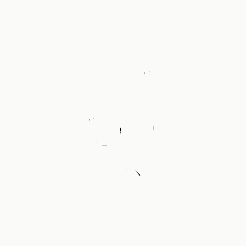 COC.C[C@@]12C=CC[C@H]1[C@@H]1CCc3cc(O)ccc3[C@H]1CC2